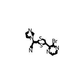 N#C/C(=C1/SCC(c2nccnc2Br)S1)n1ccnc1